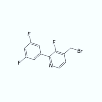 Fc1cc(F)cc(-c2nccc(CBr)c2F)c1